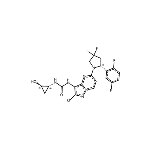 O=C(Nc1c(Cl)nn2ccc(N3CC(F)(F)C[C@@H]3c3cc(F)ccc3F)nc12)N[C@@H]1C[C@H]1O